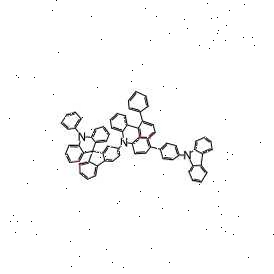 c1ccc(-c2ccccc2-c2ccccc2N(c2ccc(-c3ccc(-n4c5ccccc5c5ccccc54)cc3)cc2)c2ccc3c(c2)C2(c4ccccc4-3)c3ccccc3N(c3ccccc3)c3ccccc32)cc1